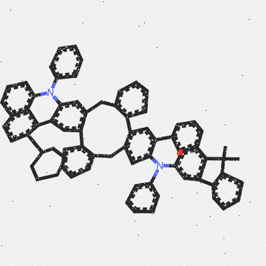 CC1(C)c2ccccc2-c2cc(N(c3ccccc3)c3cc4c(cc3-c3ccccc3)-c3ccccc3Cc3cc(N(c5ccccc5)c5ccccc5)c(-c5ccccc5C5CCCCC5)cc3-c3ccccc3C4)ccc21